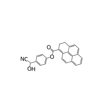 N#CC(O)c1ccc(OC(=O)C2=c3ccc4cccc5ccc(c3c54)CC2)cc1